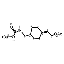 CC(=O)OCC=C1CCC(CNC(=O)OC(C)(C)C)CC1